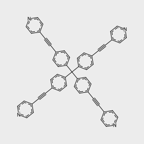 C(#Cc1ccc(C(c2ccc(C#Cc3ccncc3)cc2)(c2ccc(C#Cc3ccncc3)cc2)c2ccc(C#Cc3ccncc3)cc2)cc1)c1ccncc1